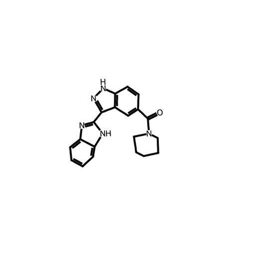 O=C(c1ccc2[nH]nc(-c3nc4ccccc4[nH]3)c2c1)N1CCCCC1